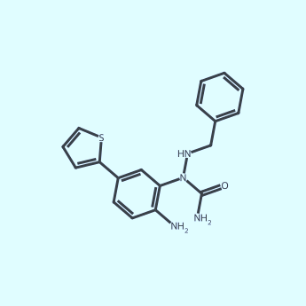 NC(=O)N(NCc1ccccc1)c1cc(-c2cccs2)ccc1N